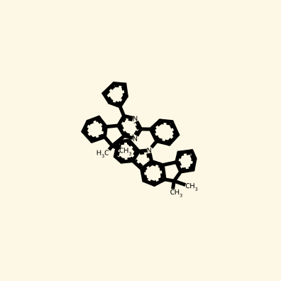 CC1(C)c2ccccc2-c2c1ccc1c3ccccc3n(-c3ccccc3-c3nc(-c4ccccc4)c4c(n3)C(C)(C)c3ccccc3-4)c21